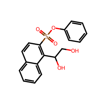 O=S(=O)(Oc1ccccc1)c1ccc2ccccc2c1C(O)CO